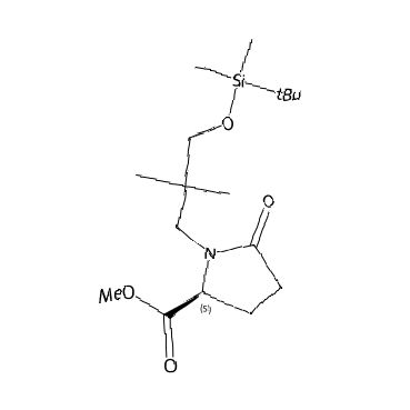 COC(=O)[C@@H]1CCC(=O)N1CC(C)(C)CO[Si](C)(C)C(C)(C)C